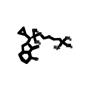 CC(C)(OCOCC[Si](C)(C)C)[C@@H](C1CC1)N1Cc2cccc(Br)c2C1=O